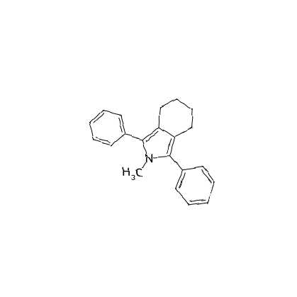 Cn1c(-c2ccccc2)c2c(c1-c1ccccc1)CCCC2